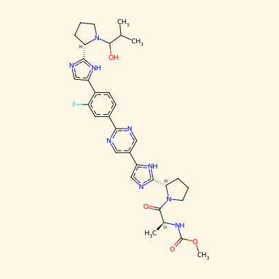 COC(=O)N[C@@H](C)C(=O)N1CCC[C@H]1c1ncc(-c2cnc(-c3ccc(-c4cnc([C@@H]5CCCN5C(O)C(C)C)[nH]4)c(F)c3)nc2)[nH]1